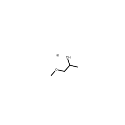 COCC(C)O.I